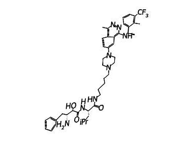 Cc1c([C@@H](C)Nc2nnc(C)c3ccc(N4CCN(CCCCCNC(=O)[C@H](CC(C)C)NC(=O)[C@@H](O)[C@H](N)Cc5ccccc5)CC4)cc23)cccc1C(F)(F)F